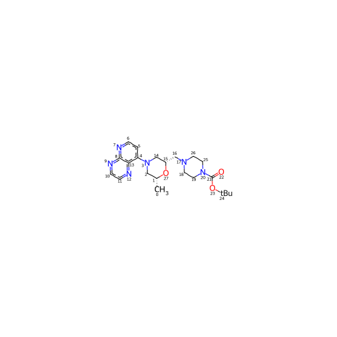 C[C@@H]1CN(c2ccnc3nccnc23)C[C@H](CN2CCN(C(=O)OC(C)(C)C)CC2)O1